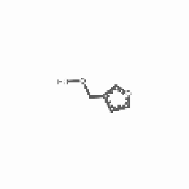 OOCc1ccoc1